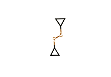 C1CC1SSC1CC1